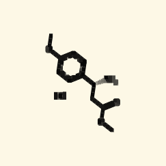 COC(=O)C[C@@H](N)c1ccc(OC)cc1.Cl